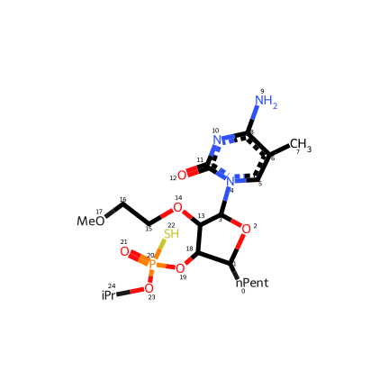 CCCCCC1OC(n2cc(C)c(N)nc2=O)C(OCCOC)C1OP(=O)(S)OC(C)C